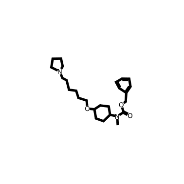 CN(C(=O)OCc1ccccc1)C1CCC(OCCCCCCN2CCCC2)CC1